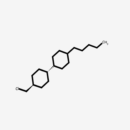 CCCCCC1CCC([C@H]2CC[C@H](CCl)CC2)CC1